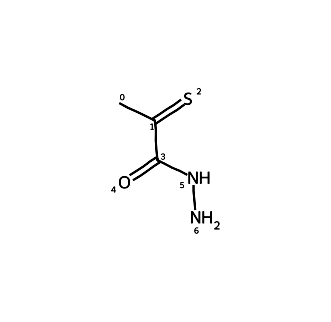 CC(=S)C(=O)NN